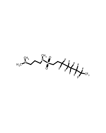 CN(C)CCCN(C)S(=O)(=O)CCC(F)(F)C(F)(F)C(F)(F)C(F)(F)C(F)(F)C(F)(F)F